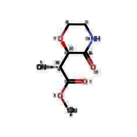 CC(C)(C)OC(=O)[C@H](N=O)[C@H]1OCCNC1=O